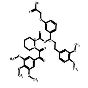 COc1ccc(CC[C@@H](OC(=O)[C@@H]2CCCCN2C(=O)C(=O)c2cc(OC)c(OC)c(OC)c2)c2cccc(OCC(=O)O)c2)cc1OC